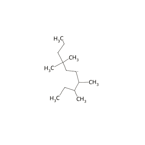 CCCC(C)(C)C[CH]C(C)C(C)CC